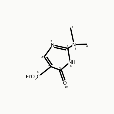 CCOC(=O)c1cnc(N(C)C)[nH]c1=O